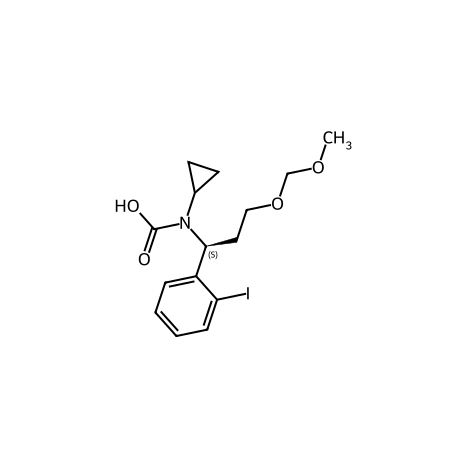 COCOCC[C@@H](c1ccccc1I)N(C(=O)O)C1CC1